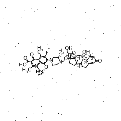 COc1c(N2CCN(CO[C@]3(C(=O)CO)CC[C@H]4[C@@H]5CCC6=CC(=O)C=C[C@]6(C)C5[C@@H](O)C[C@@]43C)C(C)C2)c(F)c(C)c2c(=O)c(C(=O)O)c(C)n(C3CC3)c12